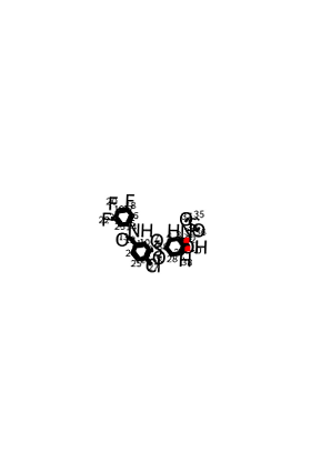 C[C@H]1CC2C[C@@H](S(=O)(=O)c3cc(C(=O)Nc4cc(F)c(F)c(F)c4)ccc3Cl)C[C@H]1[C@@]2(O)CNS(C)(=O)=O